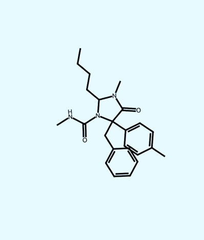 CCCCC1N(C)C(=O)C(Cc2ccccc2)(c2ccc(C)cc2)N1C(=O)NC